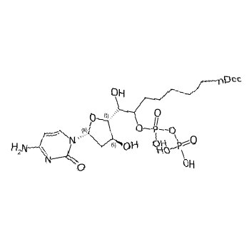 CCCCCCCCCCCCCCCC(OP(=O)(O)OP(=O)(O)O)C(O)[C@H]1O[C@@H](n2ccc(N)nc2=O)C[C@@H]1O